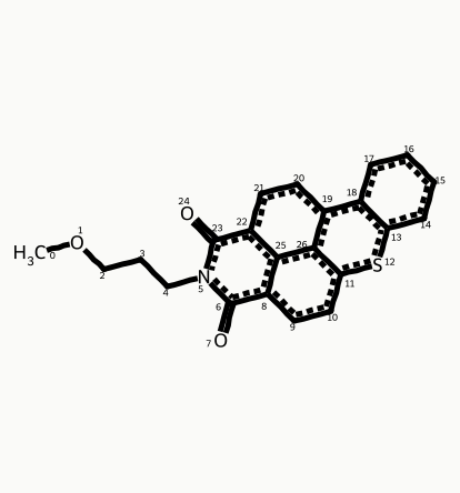 COCCCn1c(=O)c2ccc3sc4ccccc4c4ccc(c1=O)c2c34